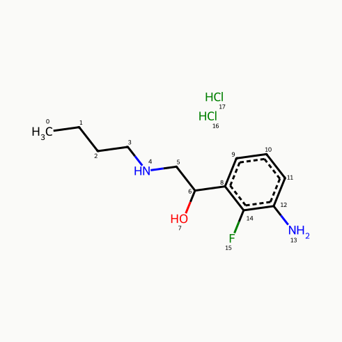 CCCCNCC(O)c1cccc(N)c1F.Cl.Cl